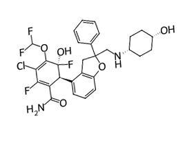 NC(=O)C1=C(F)C(Cl)=C(OC(F)F)[C@@](O)(F)[C@H]1c1cccc2c1CC(CN[C@H]1CC[C@@H](O)CC1)(c1ccccc1)O2